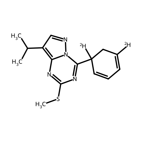 [2H]C1=CC=CC([2H])(c2nc(SC)nc3c(C(C)C)cnn23)C1